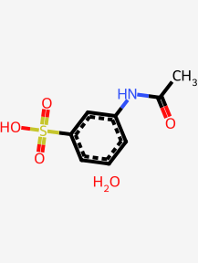 CC(=O)Nc1cccc(S(=O)(=O)O)c1.O